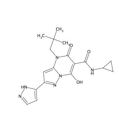 CC(C)(C)Cn1c(=O)c(C(=O)NC2CC2)c(O)n2nc(-c3ccn[nH]3)cc12